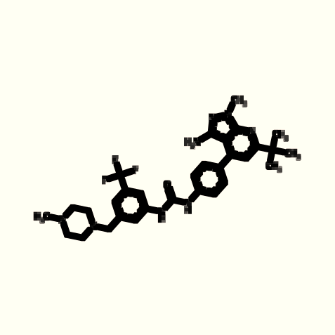 CN1CCN(Cc2cc(NC(=O)Nc3ccc(-c4cc(C(C)(C)C)nc5c4c(N)nn5C)cc3)cc(C(F)(F)F)c2)CC1